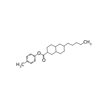 CCCCCC1CCC2CC(C(=O)Oc3ccc(C)cc3)CCC2C1